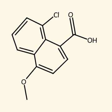 COc1ccc(C(=O)O)c2c(Cl)cccc12